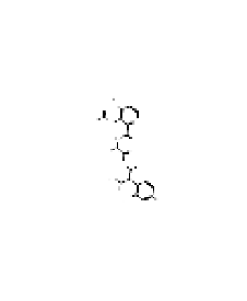 COc1ccnc(C(=O)NC(C)C(=O)OC(C)C(c2ccc(F)cc2C)C(C)C)c1OC(C)=O